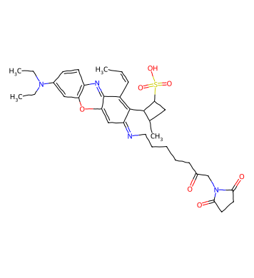 C/C=C\c1c2nc3ccc(N(CC)CC)cc3oc-2c/c(=N/CCCCCC(=O)CN2C(=O)CCC2=O)c1C1C(C)CC1S(=O)(=O)O